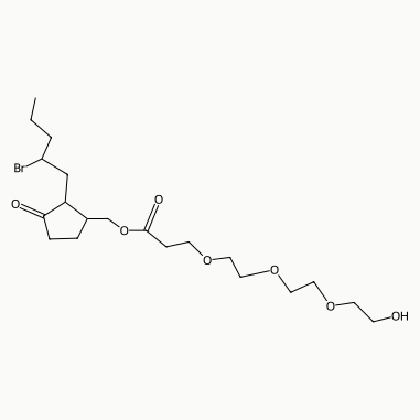 CCCC(Br)CC1C(=O)CCC1COC(=O)CCOCCOCCOCCO